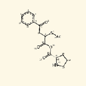 CC(=O)SC(CC(=O)c1ccccc1)C(=O)OC(=O)[C@@H]1CCCN1